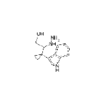 NNC(CO)C1(c2c[nH]c3ccccc23)CC1